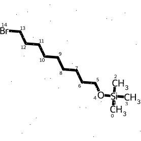 C[Si](C)(C)OCCCCCCCCCBr